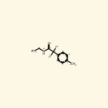 Cc1ccc(C(F)(F)C(=O)NCC(C)C)cc1